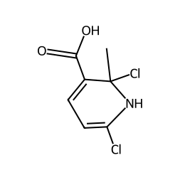 CC1(Cl)NC(Cl)=CC=C1C(=O)O